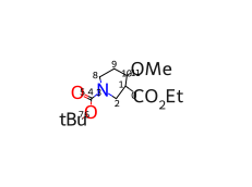 CCOC(=O)C1CN(C(=O)OC(C)(C)C)CCC1OC